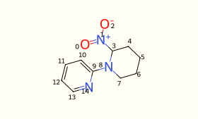 O=[N+]([O-])C1CCCCN1c1ccccn1